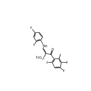 CCOC(=O)/C(=C/Nc1ccc(F)cc1F)C(=O)c1c(F)cc(F)c(F)c1C